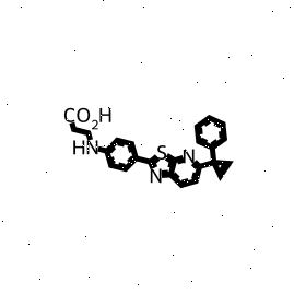 O=C(O)CCNc1ccc(-c2nc3ccc(C4(c5ccccc5)C=C4)nc3s2)cc1